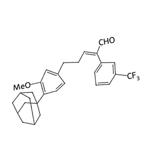 COc1cc(CCC=C(C=O)c2cccc(C(F)(F)F)c2)ccc1C12CC3CC(CC(C3)C1)C2